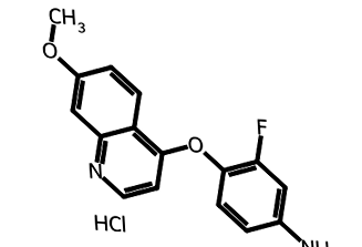 COc1ccc2c(Oc3ccc(N)cc3F)ccnc2c1.Cl